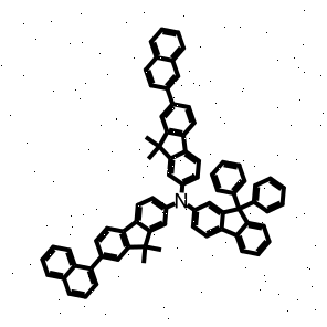 CC1(C)c2cc(-c3ccc4ccccc4c3)ccc2-c2ccc(N(c3ccc4c(c3)C(C)(C)c3cc(-c5cccc6ccccc56)ccc3-4)c3ccc4c(c3)C(c3ccccc3)(c3ccccc3)c3ccccc3-4)cc21